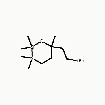 CC(C)(C)CCC1(C)CC[Si](C)(C)[Si](C)(C)O1